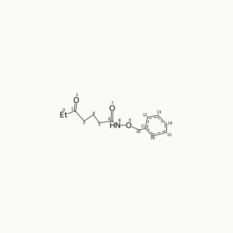 CCC(=O)CCCC(=O)NOCc1ccccc1